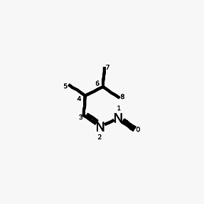 C=N/N=C\C(C)C(C)C